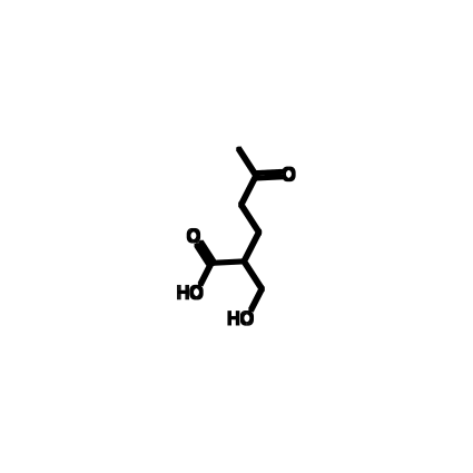 CC(=O)CCC(CO)C(=O)O